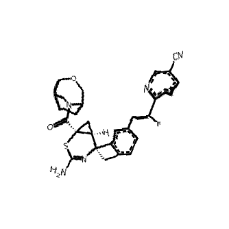 N#Cc1ccc(/C(F)=C/c2ccc3c(c2)[C@@]2(C3)N=C(N)S[C@@]3(C(=O)N4C5CCC4COC5)C[C@H]32)nc1